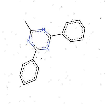 Cc1nc(-c2ccccc2)nc(-c2ccccc2)n1